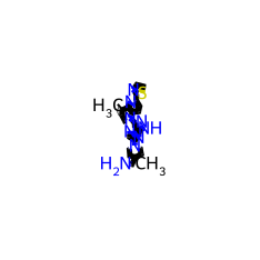 C[C@@H]1CCN(c2n[nH]c3nc(N4CCC(C)(CN)CC4)cnc23)c2ccc(-c3nccs3)nc21